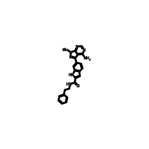 CC(C)(C)n1nc(-c2ccc3cc(C(=O)NCCc4ccccc4)[nH]c3c2)c2c(N)ncnc21